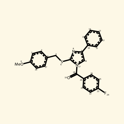 COc1ccc(CSc2nc(-c3ccccc3)cn2C(=O)c2ccc(F)cc2)cc1